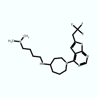 CN(C)CCCCNC1CCCN(c2ncnc3sc(CC(F)(F)F)cc23)CC1